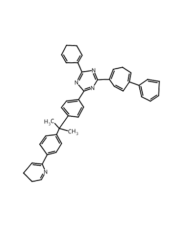 CC(C)(c1ccc(C2=CCCC=N2)cc1)c1ccc(-c2nc(C3=CCC=C(c4ccccc4)C=C3)nc(C3=CCCC=C3)n2)cc1